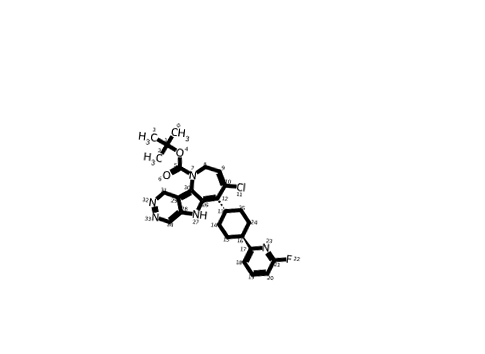 CC(C)(C)OC(=O)N1CC=C(Cl)C([C@H]2CC[C@H](c3cccc(F)n3)CC2)=c2[nH]c3c(c21)CN=NC=3